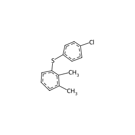 Cc1cccc(Sc2ccc(Cl)cc2)c1C